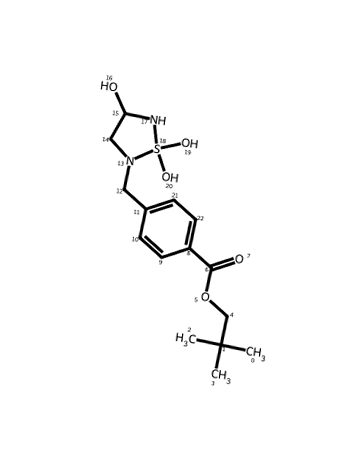 CC(C)(C)COC(=O)c1ccc(CN2CC(O)NS2(O)O)cc1